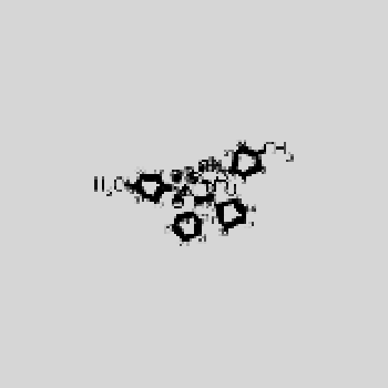 Cc1ccc(S(=O)(=O)N2[C@H](c3ccccc3)[C@H](c3ccccc3)N(S(=O)(=O)c3ccc(C)cc3)P2(=O)O)cc1